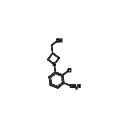 O=C(O)c1cccc(N2CC(CO)C2)c1Cl